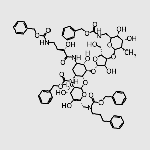 C[C@H]1[C@@H](O[C@H]2[C@@H](O)[C@H](O[C@@H]3[C@@H](O)[C@H](NC(=O)[C@@H](O)CCNC(=O)OCc4ccccc4)C[C@H](NC(=O)OCc4ccccc4)[C@H]3O[C@H]3O[C@H](CN(CCCc4ccccc4)C(=O)OCc4ccccc4)[C@@H](O)[C@H](O)[C@H]3C)O[C@@H]2CO)O[C@@H](CNC(=O)OCc2ccccc2)[C@@H](O)[C@@H]1O